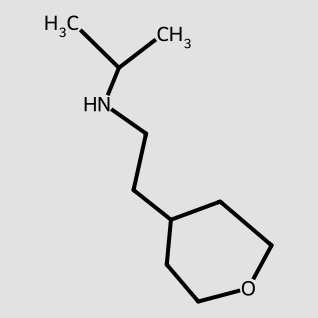 CC(C)NCCC1CCOCC1